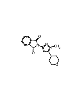 Cn1nc(N2C(=O)c3ccccc3C2=O)cc1C1CCOCC1